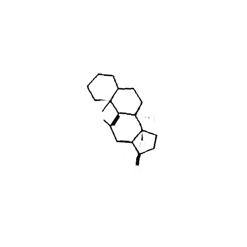 C[C@]12CC3=C4[C@@H](CCC5CCCC[C@]45O3)[C@@H]1CCC2=O